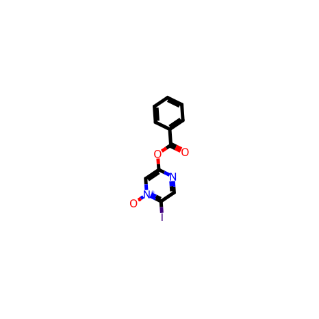 O=C(Oc1c[n+]([O-])c(I)cn1)c1ccccc1